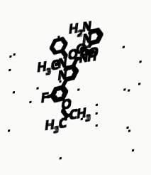 CC(C)COc1cc(F)cc(-c2ccc(C(=O)NS(=O)(=O)c3cccc(N)n3)c(N(C)CC3CCCCC3)n2)c1